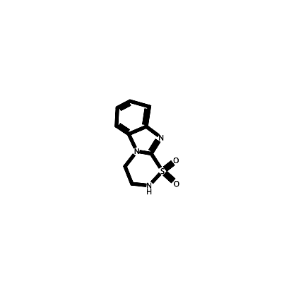 O=S1(=O)NCCn2c1nc1ccccc12